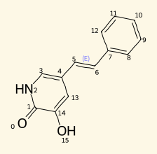 O=c1[nH]cc(/C=C/c2ccccc2)cc1O